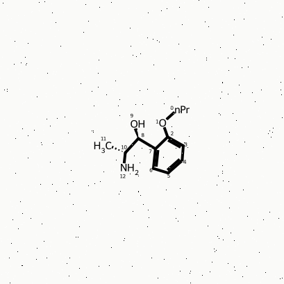 CCCOc1ccccc1[C@H](O)[C@@H](C)N